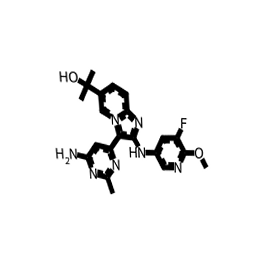 COc1ncc(Nc2nc3ccc(C(C)(C)O)cn3c2-c2cc(N)nc(C)n2)cc1F